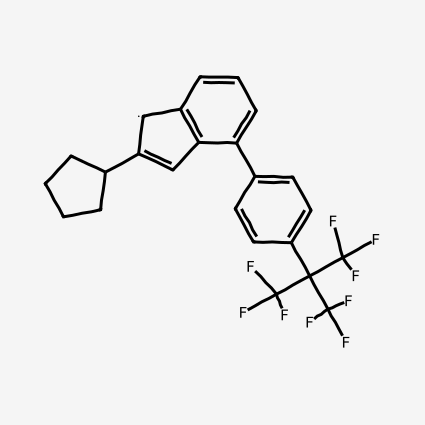 FC(F)(F)C(c1ccc(-c2cccc3c2C=C(C2CCCC2)[CH]3)cc1)(C(F)(F)F)C(F)(F)F